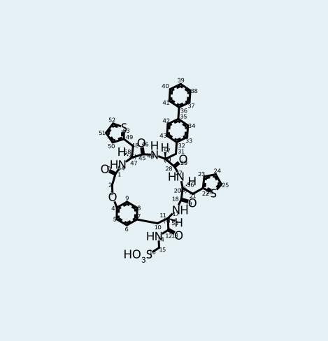 O=C1COc2ccc(cc2)C[C@@H](C(=O)NCS(=O)(=O)O)NC(=O)[C@H](Cc2cccs2)NC(=O)[C@@H](Cc2ccc(-c3ccccc3)cc2)NC(=O)[C@H](Cc2cccs2)N1